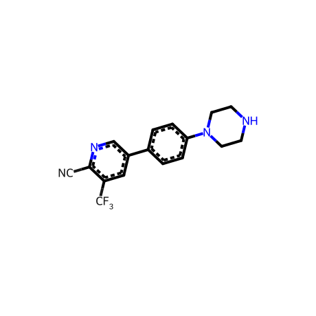 N#Cc1ncc(-c2ccc(N3CCNCC3)cc2)cc1C(F)(F)F